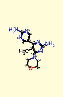 Cc1c(-c2cnc(N)nc2)nc(N)nc1N1CCOCC1